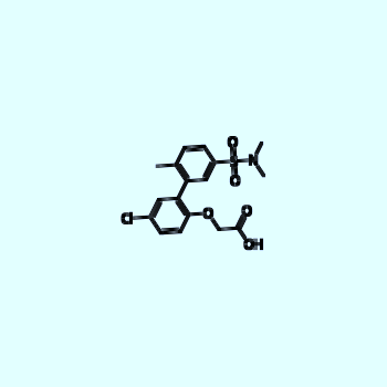 Cc1ccc(S(=O)(=O)N(C)C)cc1-c1cc(Cl)ccc1OCC(=O)O